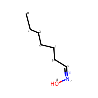 CCCCC[CH]/C=N\O